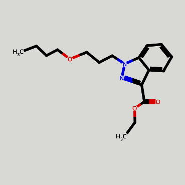 CCCCOCCCn1nc(C(=O)OCC)c2ccccc21